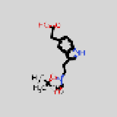 CC(C)(C)ON(C=O)CCc1c[nH]c2ccc(CC(=O)O)cc12